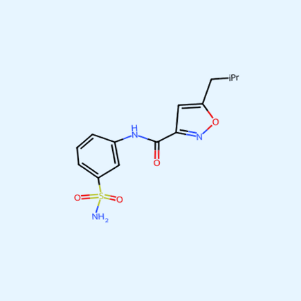 CC(C)Cc1cc(C(=O)Nc2cccc(S(N)(=O)=O)c2)no1